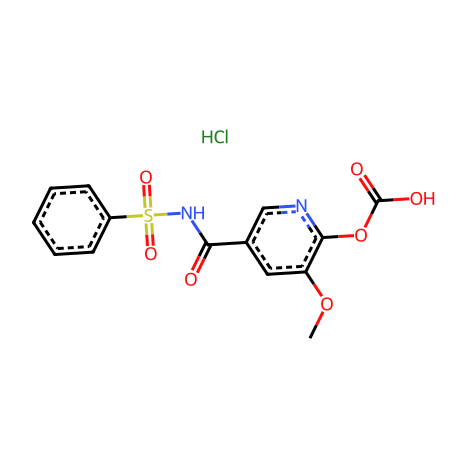 COc1cc(C(=O)NS(=O)(=O)c2ccccc2)cnc1OC(=O)O.Cl